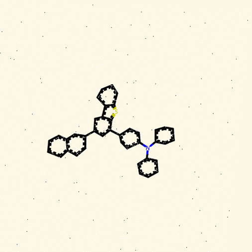 c1ccc(N(c2ccccc2)c2ccc(-c3cc(-c4ccc5ccccc5c4)cc4c3sc3ccccc34)cc2)cc1